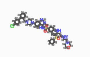 O=C(CC(CSc1ccccc1)Nc1ccc(S(=O)(=O)Nc2ncnc3cc(N4CCN(Cc5ccccc5-c5ccc(Cl)cc5)CC4)ccc23)cc1[N+](=O)[O-])NCCN1CCOCC1